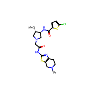 CO[C@H]1CN(CC(=O)Nc2nc3c(s2)CN(C(C)C)CC3)C[C@@H]1NC(=O)c1ccc(Cl)s1